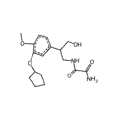 COc1ccc(C(CO)CNC(=O)C(N)=O)cc1OC1CCCC1